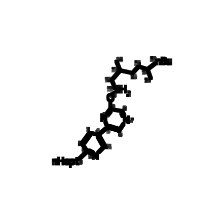 CCCCCCCc1ccc(-c2cncc(O[SiH2]CC(C)CCC(C)CCCC)n2)cn1